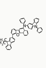 CC1(C)c2ccccc2-c2ccc(-c3cccc4c5c(oc34)C3C=CC=CC3C(N(c3ccccc3)c3ccc4c(c3)c3ccccc3n4-c3ccccc3)=C5)cc21